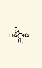 C=CC(CCN1CCCC1)[SiH](C)C